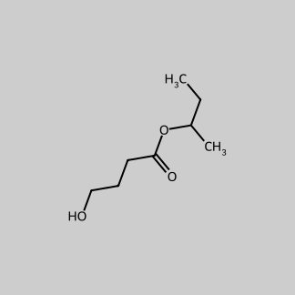 CCC(C)OC(=O)CCCO